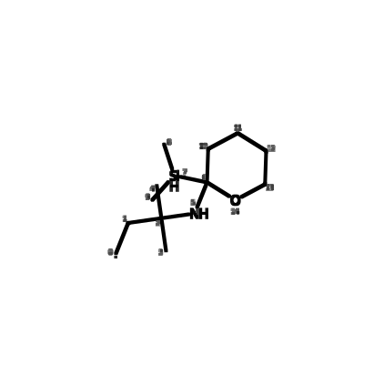 [CH2]CC(C)(C)NC1([SiH](C)C)CCCCO1